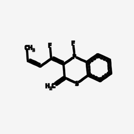 C=C1Sc2ccccc2P(F)/C1=C(F)/C=C\C